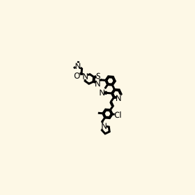 Cc1cc(/C=C/c2nccc(-c3cccc(-c4nc5c(s4)CN(C(=O)CN(C)C)CC5)c3C)c2C#N)c(Cl)cc1CN1CCCC1